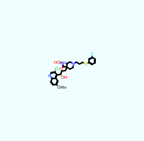 COc1ccc2ncc(Cl)c([C@H](O)CCC3(C(=O)NO)CCN(CCCSc4cccc(F)c4)CC3)c2c1